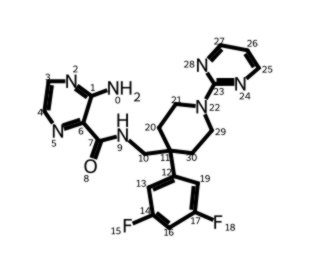 Nc1nccnc1C(=O)NCC1(c2cc(F)cc(F)c2)CCN(c2ncccn2)CC1